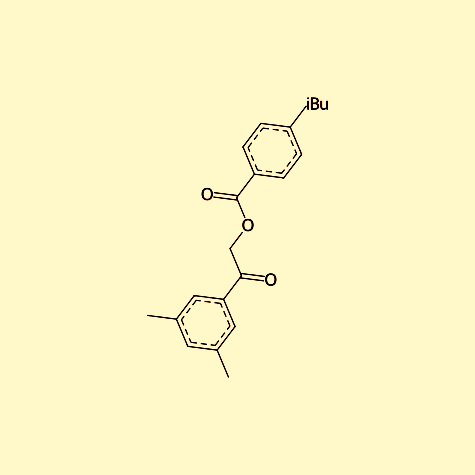 CCC(C)c1ccc(C(=O)OCC(=O)c2cc(C)cc(C)c2)cc1